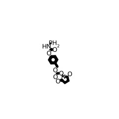 O=C(NP)Oc1ccc(COC(=O)ON2C(=O)CCC2=O)cc1